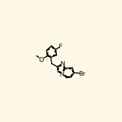 COc1ccc(F)cc1Cc1cn2ccc(Br)cc2n1